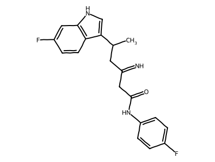 CC(CC(=N)CC(=O)Nc1ccc(F)cc1)c1c[nH]c2cc(F)ccc12